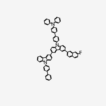 Fc1ccc2ccc(-c3ccc4c(c3)c3cc(-c5ccc6c(c5)c5ccccc5n6-c5ccc(-c6ccccc6)cc5)ccc3n4-c3ccc(-c4ccc(N(c5ccccc5)c5ccccc5)cc4)cc3)cc2c1